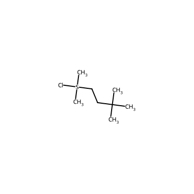 CC(C)(C)CCS(C)(C)Cl